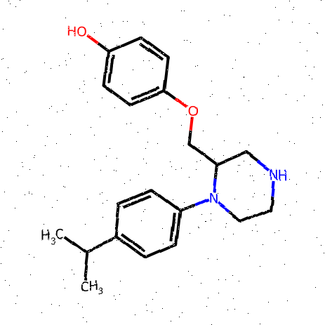 CC(C)c1ccc(N2CCNCC2COc2ccc(O)cc2)cc1